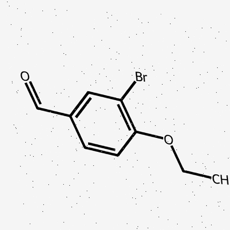 CCOc1ccc(C=O)cc1Br